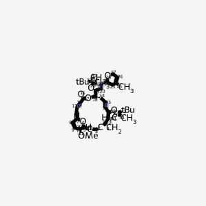 C=C1CCC[C@H]2O[C@@H](C=C[C@@H]2OC)C/C=C\C(=O)O[C@H]([C@H](/C=C/[C@@H]2CC(C)=CCO2)O[Si](C)(C)C(C)(C)C)C/C=C/C(O[Si](C)(C)C(C)(C)C)C1